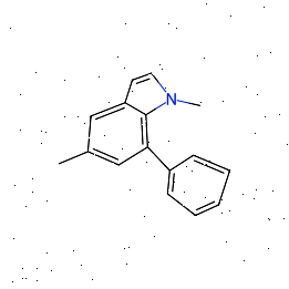 Cc1cc(-c2ccccc2)c2c(ccn2C)c1